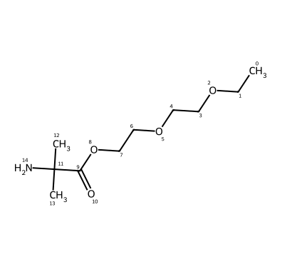 CCOCCOCCOC(=O)C(C)(C)N